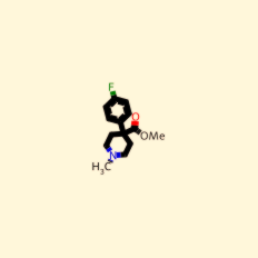 COC(=O)C1(c2ccc(F)cc2)CCN(C)CC1